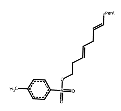 CCCCCC=CCC=CCCOS(=O)(=O)c1ccc(C)cc1